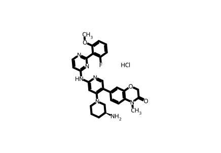 COc1cccc(F)c1-c1nccc(Nc2cc(N3CCC[C@H](N)C3)c(-c3ccc4c(c3)OCC(=O)N4C)cn2)n1.Cl